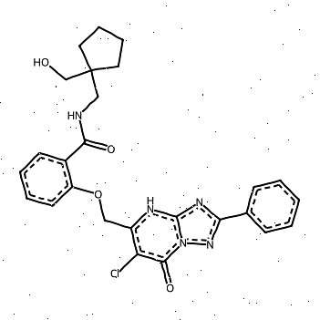 O=C(NCC1(CO)CCCC1)c1ccccc1OCc1[nH]c2nc(-c3ccccc3)nn2c(=O)c1Cl